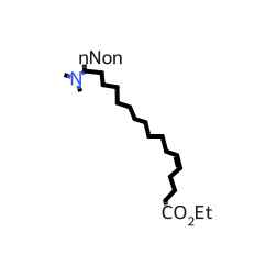 CCCCCCCCCC(CCCCCCCCCC/C=C\CCCC(=O)OCC)N(C)C